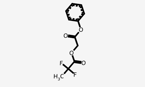 CC(F)(F)C(=O)OCC(=O)Oc1ccccc1